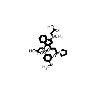 COc1ccc(S(=O)(=O)N(CC(=O)O)c2c(/C=C/C(=O)N3CCCC3)cc(N(C)CC(=O)O)c3ccccc23)cc1